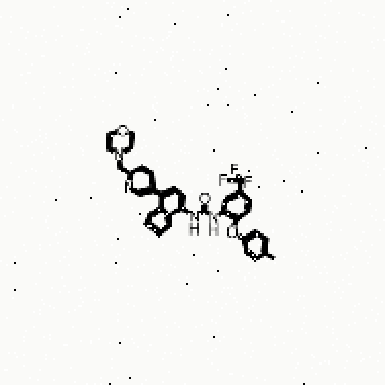 Cc1ccc(Oc2ccc(C(F)(F)F)cc2NC(=O)Nc2ccc(-c3ccc(CN4CCOCC4)nc3)c3ccccc23)cc1